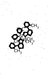 Cc1cccc(C)c1-c1cccc2c1C=C1[CH]2[Hf]([CH3])([CH3])[CH]2C(=Cc3c(-c4c(C)cccc4C)cccc32)[Si]1(c1ccccc1)c1ccccc1